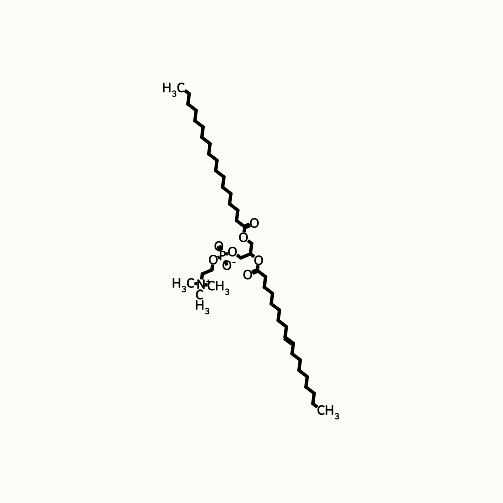 CCCCCCCCC=CCCCCCCCC(=O)OC(COC(=O)CCCCCCCCCCCCCCCCC)COP(=O)([O-])OCC[N+](C)(C)C